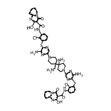 NCC1(C2(N)CCN(c3cnc(Sc4cccc(NC(=O)c5c(O)nc6ccccn6c5=O)c4Cl)c(N)n3)CC2)CCN(c2cnc(Sc3cccc(NC(=O)c4c(O)nc5ccccn5c4=O)c3Cl)c(N)n2)CC1